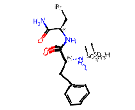 CC(C)C[C@@H](NC(=O)[C@H](N)Cc1ccccc1)C(N)=O.CS(=O)(=O)O.CS(=O)(=O)O